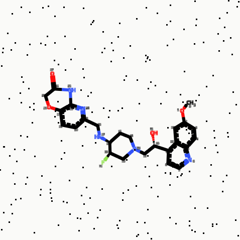 COc1ccc2nccc([C@@H](O)CN3CC[C@H](NCc4ccc5c(n4)NC(=O)CO5)[C@H](F)C3)c2c1